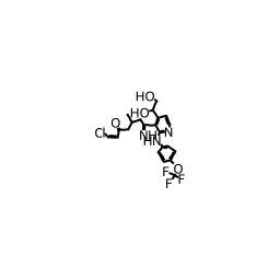 CC(CC(=N)c1c(C(O)CO)ccnc1Nc1ccc(OC(F)(F)F)cc1)CC(=O)/C=C\Cl